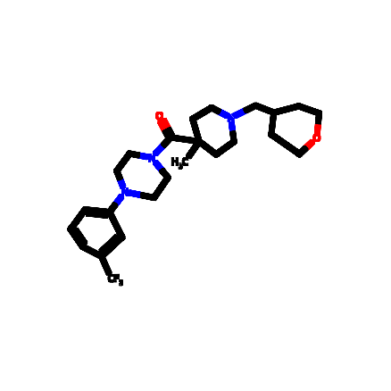 CC1(C(=O)N2CCN(c3cccc(C(F)(F)F)c3)CC2)CCN(CC2CCOCC2)CC1